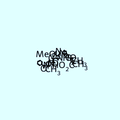 COc1cnc(-n2ccc(COC(=O)CC(C)(C)C(=O)O)n2)c2[nH]cc(C(=O)C(=O)N3CCN(C(=O)c4ccccc4)[C@H](C)C3)c12